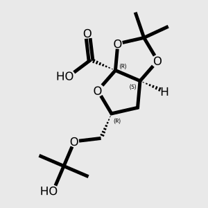 CC(C)(O)OC[C@H]1C[C@@H]2OC(C)(C)O[C@]2(C(=O)O)O1